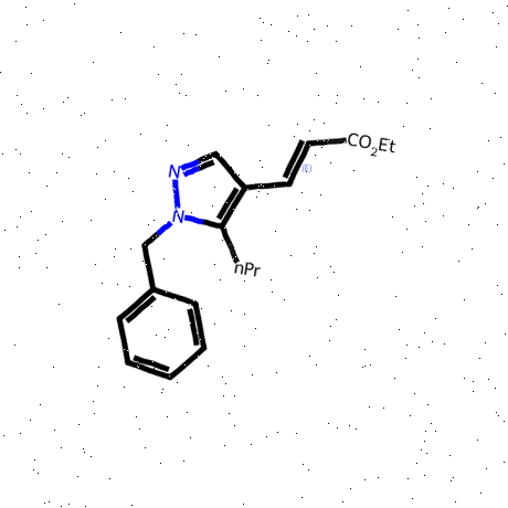 CCCc1c(/C=C/C(=O)OCC)cnn1Cc1ccccc1